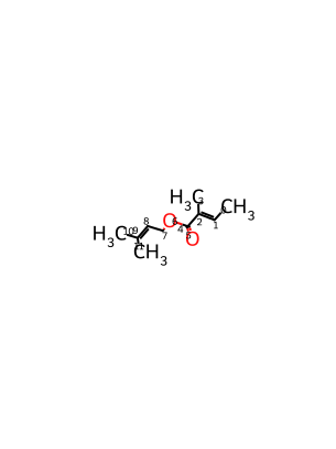 C/C=C(\C)C(=O)OCC=C(C)C